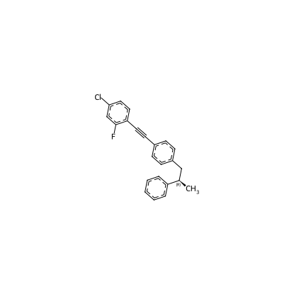 C[C@H](Cc1ccc(C#Cc2ccc(Cl)cc2F)cc1)c1ccccc1